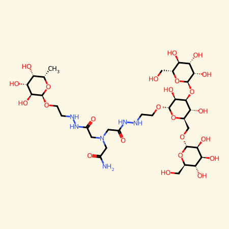 C[C@@H]1O[C@@H](OCCNNC(=O)CN(CC(N)=O)CC(=O)NNCCO[C@H]2O[C@H](CO[C@H]3O[C@H](CO)[C@@H](O)[C@H](O)[C@@H]3O)[C@@H](O)[C@H](O[C@H]3O[C@H](CO)[C@@H](O)[C@H](O)[C@@H]3O)[C@@H]2O)[C@@H](O)[C@H](O)[C@@H]1O